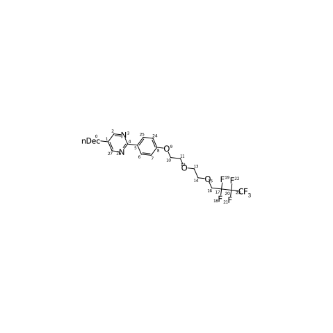 CCCCCCCCCCc1cnc(-c2ccc(OCCOCCOCC(F)(F)C(F)(F)C(F)(F)F)cc2)nc1